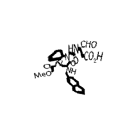 COCC(=O)N1CC(NCc2ccc3ccccc3c2)C(=O)N(CC(=O)N[C@H](C=O)CC(=O)O)c2ccccc21